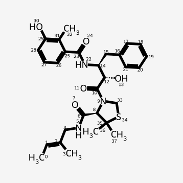 C/C=C(\C)CNC(=O)[C@H]1N(C(=O)[C@@H](O)[C@H](Cc2ccccc2)NC(=O)c2cccc(O)c2C)CSC1(C)C